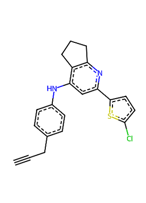 C#CCc1ccc(Nc2cc(-c3ccc(Cl)s3)nc3c2CCC3)cc1